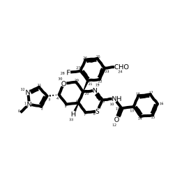 Cn1cc([C@H]2C[C@H]3CSC(NC(=O)c4ccccc4)=N[C@@]3(c3cc(C=O)ccc3F)CO2)cn1